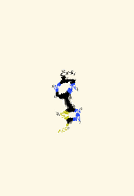 Cc1cnc(-c2nnc(S)s2)cn1